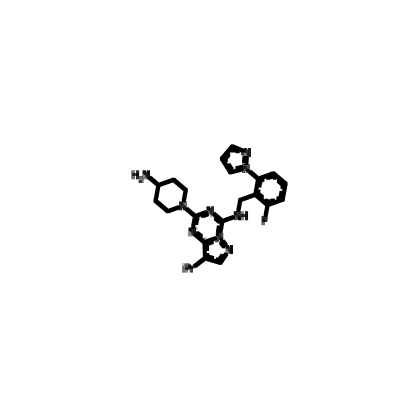 CC(C)c1cnn2c(NCc3c(F)cccc3-n3cccn3)nc(N3CCC(N)CC3)nc12